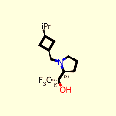 CC(C)[C@H]1C[C@@H](CN2CCC[C@H]2[C@H](O)C(F)(F)F)C1